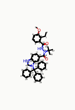 CCc1c(OC)cccc1C(=O)NN(C(=O)c1ccc2c(c1)N(C(c1ccccc1)(c1ccccc1)c1ccccc1)CN2)C(C)(C)C